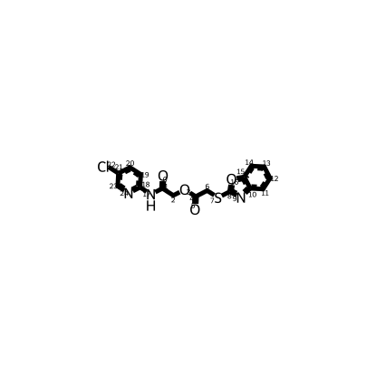 O=C(COC(=O)CSc1nc2ccccc2o1)Nc1ccc(Cl)cn1